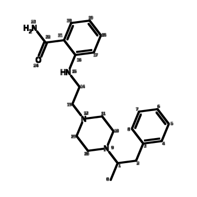 CC(Cc1ccccc1)N1CCN(CCNc2ccccc2C(N)=O)CC1